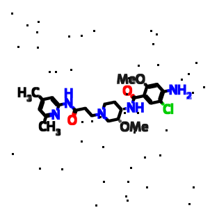 COc1cc(N)c(Cl)cc1C(=O)N[C@H]1CCN(CCC(=O)Nc2cc(C)cc(C)n2)C[C@H]1OC